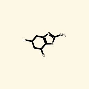 CCC1Cc2nc(N)sc2C(Cl)C1